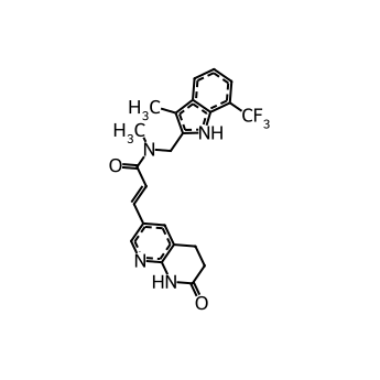 Cc1c(CN(C)C(=O)C=Cc2cnc3c(c2)CCC(=O)N3)[nH]c2c(C(F)(F)F)cccc12